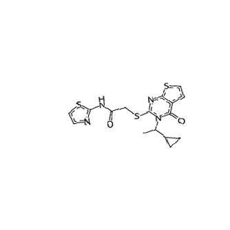 CC(C1CC1)n1c(SCC(=O)Nc2nccs2)nc2sccc2c1=O